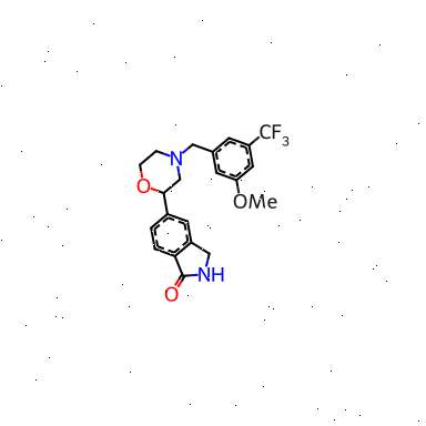 COc1cc(CN2CCOC(c3ccc4c(c3)CNC4=O)C2)cc(C(F)(F)F)c1